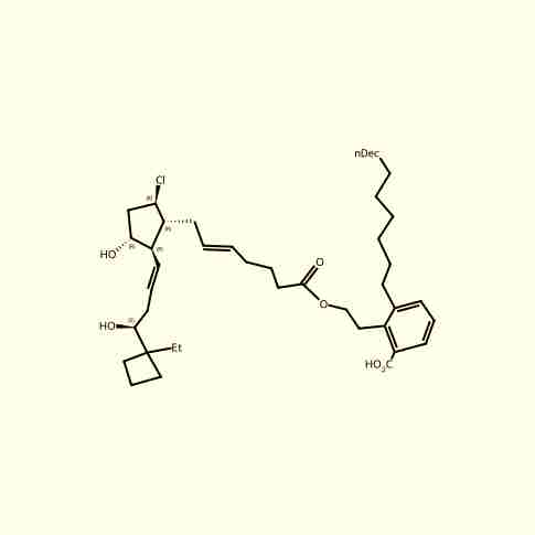 CCCCCCCCCCCCCCCCc1cccc(C(=O)O)c1CCOC(=O)CCCC=CC[C@@H]1[C@@H](C=CC[C@H](O)C2(CC)CCC2)[C@H](O)C[C@H]1Cl